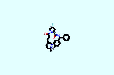 Cc1ccc(CCC(=O)N2C[C@H](F)C[C@H]2C(=O)N[C@@H](c2ccccc2)c2ccc(C(C)C)cc2)cn1